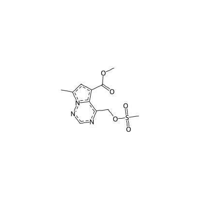 COC(=O)c1cc(C)n2ncnc(COS(C)(=O)=O)c12